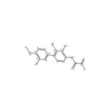 C=C(C)C(=O)Oc1ccc(-c2ccc(OC)c(F)c2)c(F)c1F